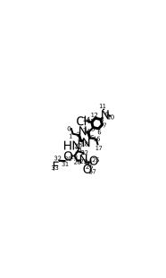 CCc1nc(-c2ccc(N(C)C)cc2Cl)c(CC)nc1N[C@@H]1CN(C(=O)OC)C[C@@H]1OCCF